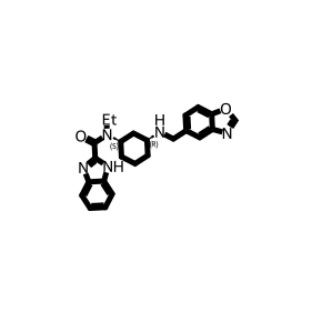 CCN(C(=O)c1nc2ccccc2[nH]1)[C@H]1CCC[C@@H](NCc2ccc3ocnc3c2)C1